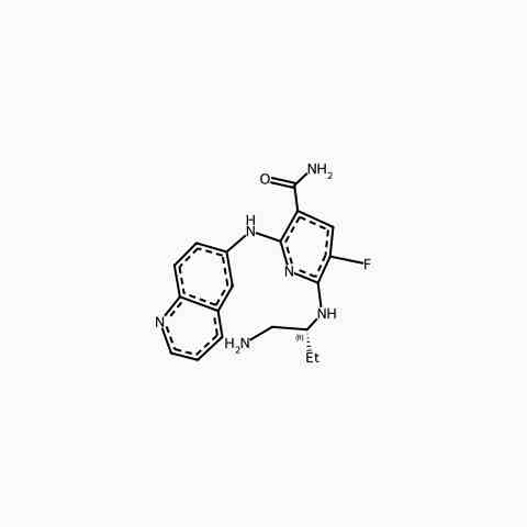 CC[C@H](CN)Nc1nc(Nc2ccc3ncccc3c2)c(C(N)=O)cc1F